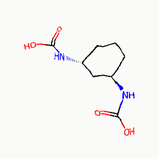 O=C(O)N[C@@H]1CCC[C@@H](NC(=O)O)C1